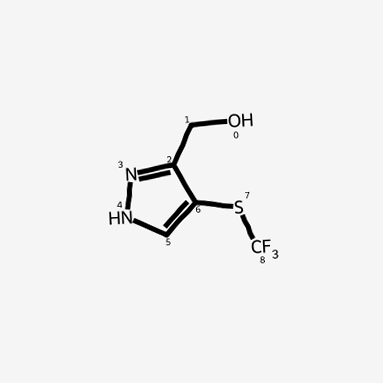 OCc1n[nH]cc1SC(F)(F)F